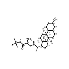 CC(NCC(N)C(=O)OC(C)(C)C)[C@H]1CC[C@H]2[C@@H]3CCC4CC(O)CC[C@]4(C)[C@H]3CC[C@]12C